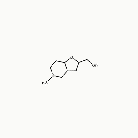 CN1CCC2OC(CO)CC2C1